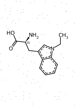 CCn1cc(C[C@H](N)C(=O)O)c2ccccc21